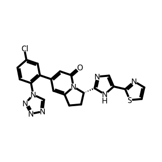 O=c1cc(-c2cc(Cl)ccc2-n2cnnn2)cc2n1[C@H](c1ncc(-c3nccs3)[nH]1)CC2